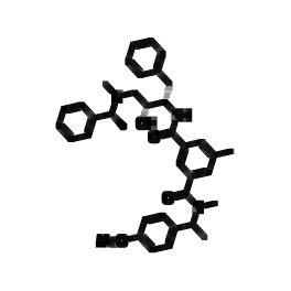 COc1ccc(C(C)N(C)C(=O)c2cc(C)cc(C(=O)N[C@@H](Cc3ccccc3)[C@H](O)CN(C)[C@@H](C)c3ccccc3)c2)cc1